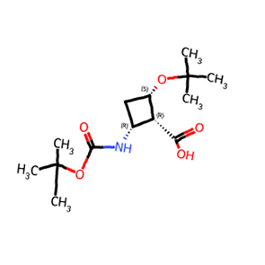 CC(C)(C)OC(=O)N[C@@H]1C[C@H](OC(C)(C)C)[C@@H]1C(=O)O